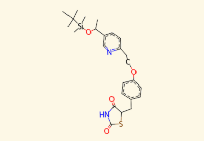 CC(O[Si](C)(C)C(C)(C)C)c1ccc(CCOc2ccc(CC3SC(=O)NC3=O)cc2)nc1